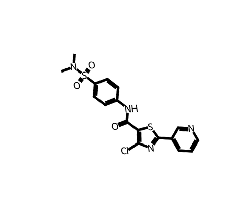 CN(C)S(=O)(=O)c1ccc(NC(=O)c2sc(-c3cccnc3)nc2Cl)cc1